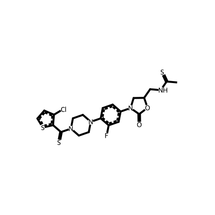 CC(=S)NCC1CN(c2ccc(N3CCN(C(=S)c4sccc4Cl)CC3)c(F)c2)C(=O)O1